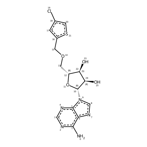 Nc1ncnc2c1ncn2[C@@H]1O[C@H](COCc2cc(Cl)cs2)[C@@H](O)[C@H]1O